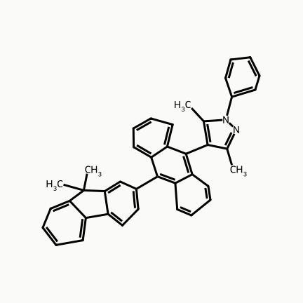 Cc1nn(-c2ccccc2)c(C)c1-c1c2ccccc2c(-c2ccc3c(c2)C(C)(C)c2ccccc2-3)c2ccccc12